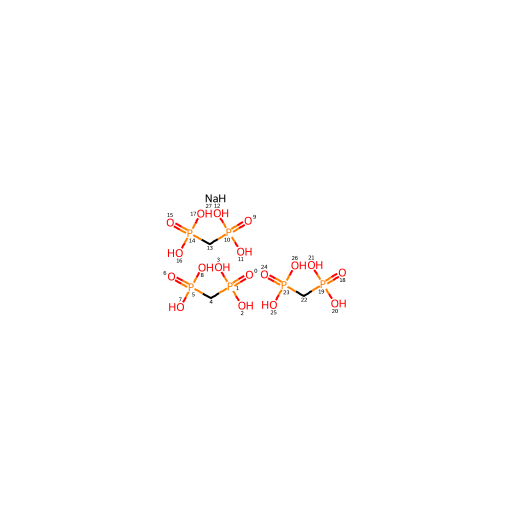 O=P(O)(O)CP(=O)(O)O.O=P(O)(O)CP(=O)(O)O.O=P(O)(O)CP(=O)(O)O.[NaH]